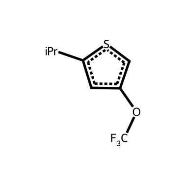 CC(C)c1cc(OC(F)(F)F)cs1